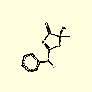 CCN(C1=NC(=O)[C@@](C)(C(C)C)S1)c1ccccc1